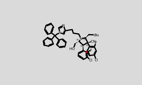 CC(C)(C)C[C@@H]1N(CCCc2cn(C(c3ccccc3)(c3ccccc3)c3ccccc3)cn2)[C@@H](CO)[C@H](c2cccc(Cl)c2F)[C@@]1(C#N)c1ccc(Cl)cc1F